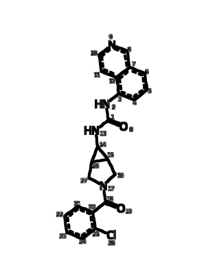 O=C(Nc1cccc2cnccc12)NC1C2CN(C(=O)c3ccccc3Cl)CC21